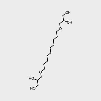 OCC(O)COCCCCCCCCCCOCC(O)CO